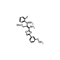 COC/C(=C(/N)c1nc(-c2cccc(SN)c2)no1)N(N)c1ccccc1F